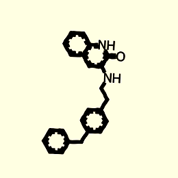 O=c1[nH]c2ccccc2cc1NCCc1ccc(Cc2ccccc2)cc1